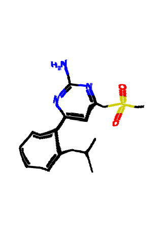 CC(C)c1ccccc1-c1cc(S(C)(=O)=O)nc(N)n1